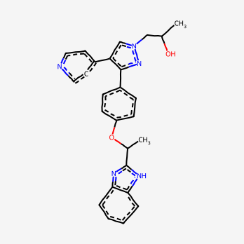 CC(O)Cn1cc(-c2ccncc2)c(-c2ccc(OC(C)c3nc4ccccc4[nH]3)cc2)n1